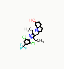 CCc1nn(-c2c(Cl)cc(C(F)(F)F)cc2Cl)c(CC)c1Cc1ccc2ccc(O)cc2n1